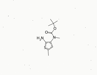 Cc1cc(N(C)C(=O)OC(C)(C)C)c(N)s1